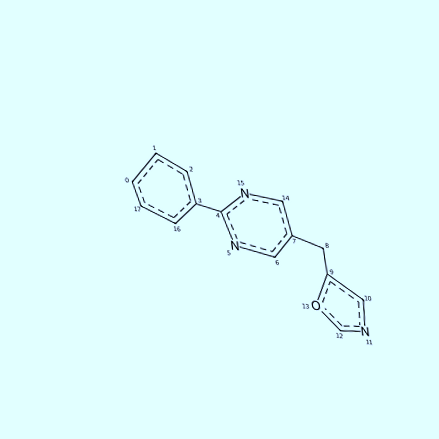 c1ccc(-c2ncc(Cc3cnco3)cn2)cc1